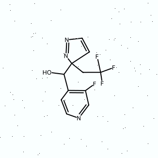 OC(c1ccncc1F)C1(CC(F)(F)F)C=CN=N1